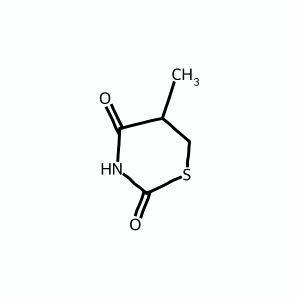 CC1CSC(=O)NC1=O